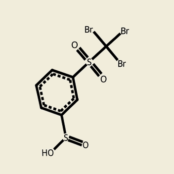 O=S(O)c1cccc(S(=O)(=O)C(Br)(Br)Br)c1